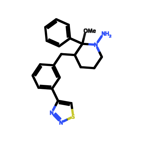 COC1(c2ccccc2)C(Cc2cccc(-c3csnn3)c2)CCCN1N